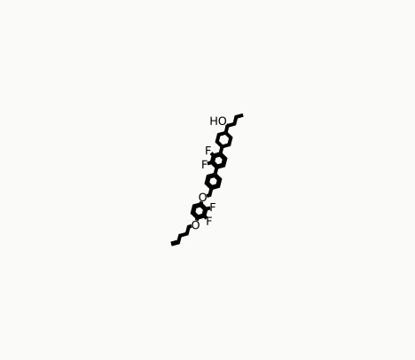 C=CCCCOc1ccc(OCc2ccc(-c3ccc(C4CCC(C(O)CCC)CC4)c(F)c3F)cc2)c(F)c1F